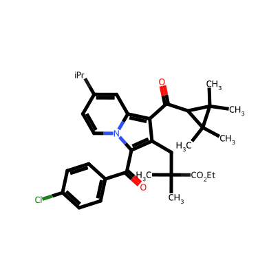 CCOC(=O)C(C)(C)Cc1c(C(=O)C2C(C)(C)C2(C)C)c2cc(C(C)C)ccn2c1C(=O)c1ccc(Cl)cc1